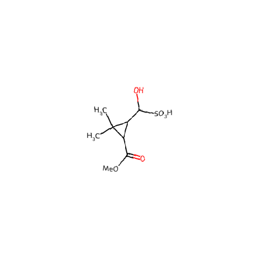 COC(=O)C1C(C(O)S(=O)(=O)O)C1(C)C